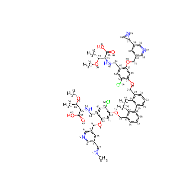 C/N=C/c1cncc(COc2cc(OCc3cccc(-c4cccc(COc5cc(OCc6cncc(C7C=N7)c6)c(CN[C@H](C(=O)O)[C@@H](C)OC)cc5Cl)c4C)c3C)c(Cl)cc2CN[C@H](C(=O)O)[C@@H](C)OC)c1